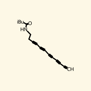 C#CC#CC#CC#CC#CCCNC(=O)C(C)CC